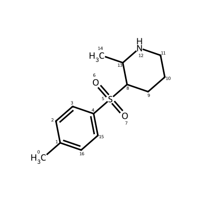 Cc1ccc(S(=O)(=O)C2CCCNC2C)cc1